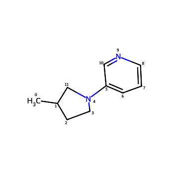 CC1CCN(c2cccnc2)C1